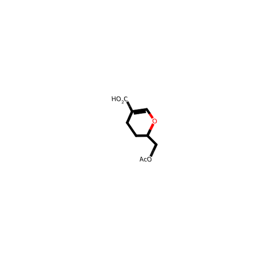 CC(=O)OCC1CCC(C(=O)O)=CO1